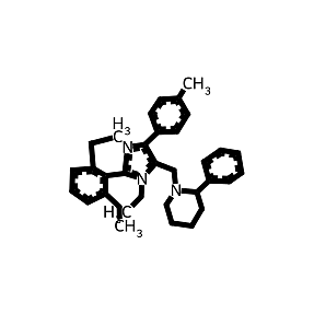 CCc1cccc(CC)c1-c1nc(-c2ccc(C)cc2)c(CN2CCCCC2c2ccccc2)n1CC